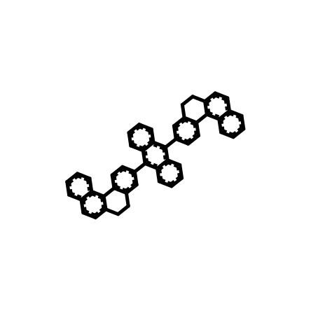 c1ccc2c3c(ccc2c1)CCc1cc(-c2c4ccccc4c(-c4ccc5c(c4)CCc4ccc6ccccc6c4-5)c4ccccc24)ccc1-3